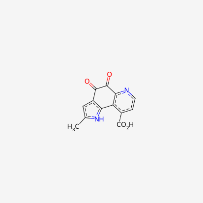 Cc1cc2c([nH]1)-c1c(C(=O)O)ccnc1C(=O)C2=O